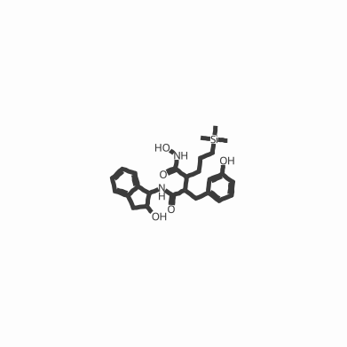 C[Si](C)(C)CCCC(C(=O)NO)C(Cc1cccc(O)c1)C(=O)NC1c2ccccc2CC1O